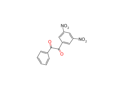 O=C(C(=O)c1cc([N+](=O)[O-])cc([N+](=O)[O-])c1)c1ccccc1